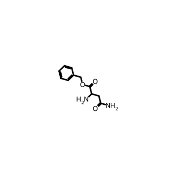 NC(=O)CC(N)C(=O)OCc1ccccc1